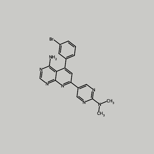 CN(C)c1ncc(-c2cc(-c3cccc(Br)c3)c3c(N)ncnc3n2)cn1